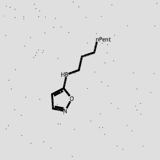 CCCCCCCCBc1ccno1